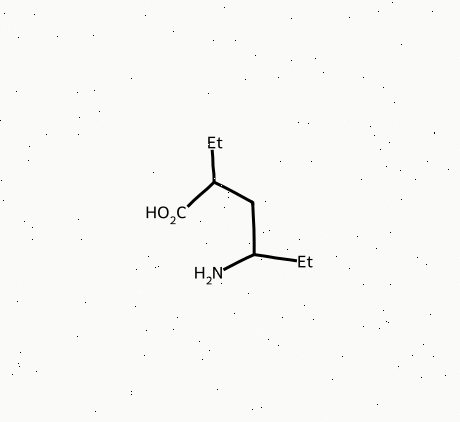 CCC(N)CC(CC)C(=O)O